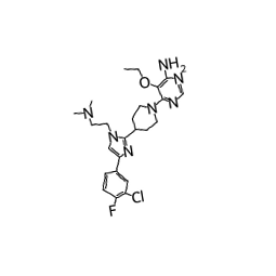 CCOc1c(N)ncnc1N1CCC(c2nc(-c3ccc(F)c(Cl)c3)cn2CCN(C)C)CC1